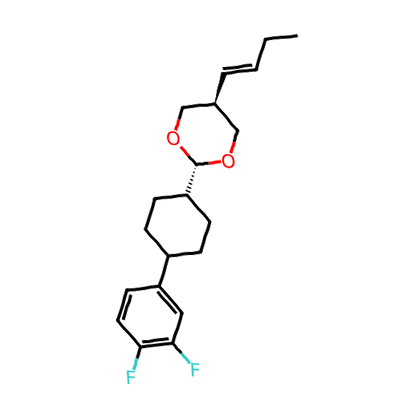 CC/C=C/[C@H]1CO[C@H](C2CCC(c3ccc(F)c(F)c3)CC2)OC1